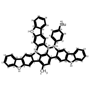 Cc1cc2c3c4c1c1cc5oc6ccccc6c5cc1n4-c1cc4oc5ccccc5c4cc1B3N(c1ccc(C(C)(C)C)cc1)c1cc3c(cc1-2)sc1ccccc13